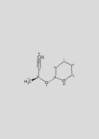 C#C[C@H](C)OC1CCCCO1